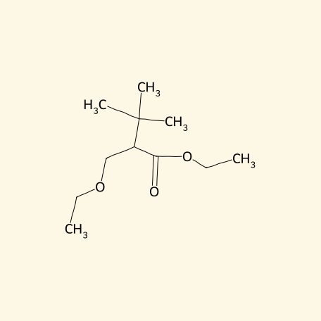 CCOCC(C(=O)OCC)C(C)(C)C